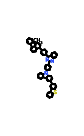 CC12C=CC=CC1C1=CC=CC3C1=C2C=CC3c1ccc(-c2nc(-c3ccc(-n4c5ccccc5c5cc(-c6ccc7sc8ccccc8c7c6)ccc54)cc3)nc3ccccc23)cc1